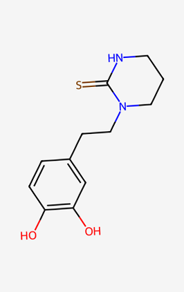 Oc1ccc(CCN2CCCNC2=S)cc1O